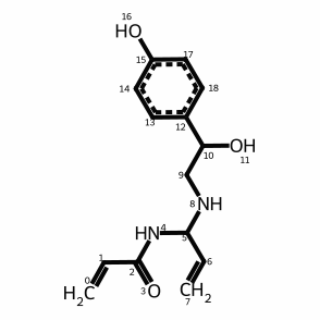 C=CC(=O)NC(C=C)NCC(O)c1ccc(O)cc1